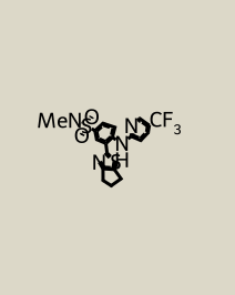 CNS(=O)(=O)c1ccc(Nc2ccc(C(F)(F)F)cn2)c(-c2nc3c(s2)CCC3)c1